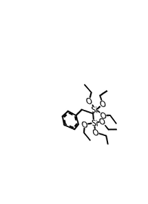 CCO[Si](OCC)(OCC)C(Cc1ccccc1)[Si](OCC)(OCC)OCC